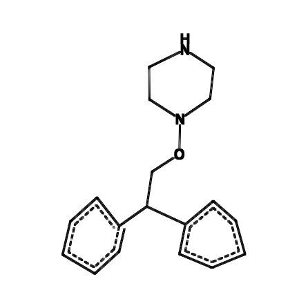 c1ccc(C(CON2CCNCC2)c2ccccc2)cc1